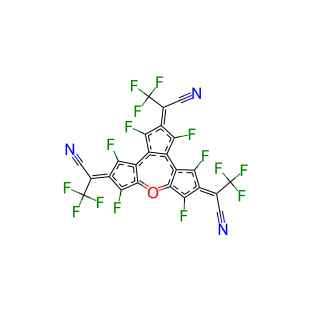 N#C/C(=c1/c(F)c2oc3c(F)/c(=C(\C#N)C(F)(F)F)c(F)c3c3c(F)/c(=C(\C#N)C(F)(F)F)c(F)c3c2c1F)C(F)(F)F